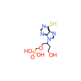 O=P(O)(O)COCC(CCO)n1cnc2c(S)ncnc21